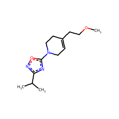 COCCC1=CCN(c2nc(C(C)C)no2)CC1